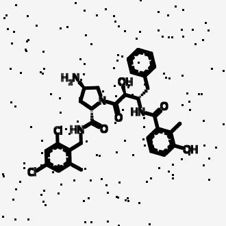 Cc1cc(Cl)cc(Cl)c1CNC(=O)[C@@H]1C[C@@H](N)CN1C(=O)[C@@H](O)[C@H](Cc1ccccc1)NC(=O)c1cccc(O)c1C